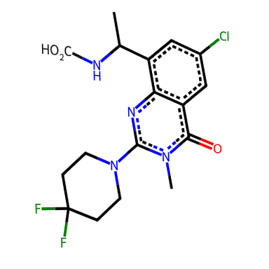 CC(NC(=O)O)c1cc(Cl)cc2c(=O)n(C)c(N3CCC(F)(F)CC3)nc12